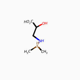 C[SH](C)NCC(O)C(=O)O